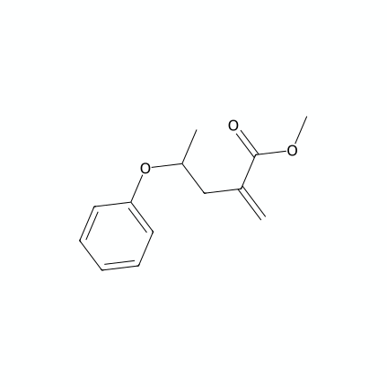 C=C(CC(C)Oc1ccccc1)C(=O)OC